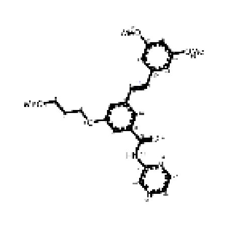 COCCCOc1cc(/C=C/c2cc(OC)cc(OC)c2)cc(C(=O)Nc2cnccn2)c1